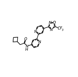 O=C(CC1CCC1)Nc1ccnc(-c2cc(-c3noc(C(F)(F)F)n3)ccn2)c1